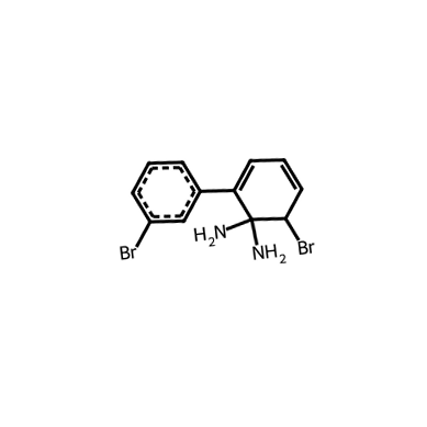 NC1(N)C(c2cccc(Br)c2)=CC=CC1Br